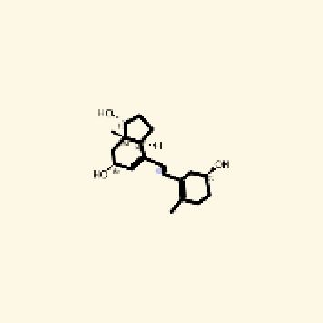 CC1=C(/C=C/C2=C[C@H](O)C[C@]3(C)[C@H](O)CC[C@@H]23)C[C@@H](O)CC1